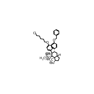 C[SiH](C)OC1[C@@]2(C)[C@@H](CC[C@H]2C(C)(C)C)C[C@@H](c2ccc(OCc3ccccc3)cc2)[C@]1(O)c1ccc(OCCCCCCl)cc1